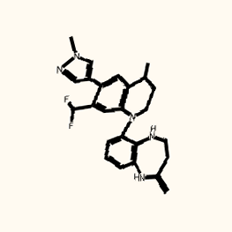 C=C1CCNc2c(cccc2N2CCC(C)c3cc(-c4cnn(C)c4)c(C(F)F)cc32)N1